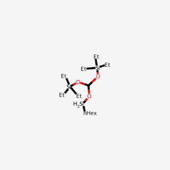 CCCCCC[SiH2]OC(O[Si](CC)(CC)CC)O[Si](CC)(CC)CC